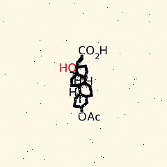 CC(=O)OC1CC[C@@]2(C)C(CC[C@@H]3[C@@H]2CC[C@@]2(C)[C@H]3CC[C@]2(O)C=CC(=O)O)C1